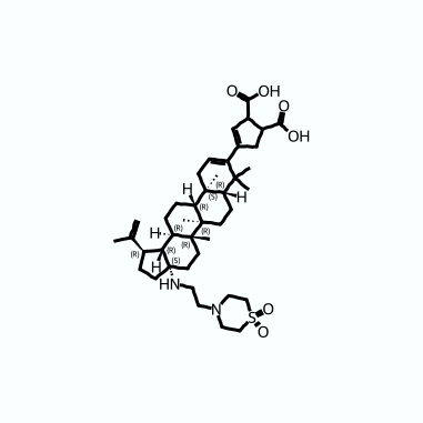 C=C(C)[C@@H]1CC[C@]2(NCCN3CCS(=O)(=O)CC3)CC[C@]3(C)[C@H](CC[C@@H]4[C@@]5(C)CC=C(C6=CC(C(=O)O)C(C(=O)O)C6)C(C)(C)[C@@H]5CC[C@]43C)[C@@H]12